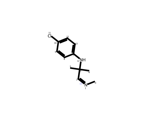 C/N=C\C(C)(C)Nc1ccc(Cl)cc1